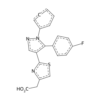 O=C(O)Cc1csc(-c2cnn(-c3ccccc3)c2-c2ccc(F)cc2)n1